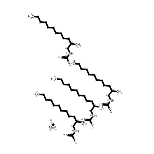 CCCCCCCCCCC(C)CNC(=S)[S-].CCCCCCCCCCC(C)CNC(=S)[S-].CCCCCCCCCCC(C)CNC(=S)[S-].CCCCCCCCCCC(C)CNC(=S)[S-].O=S.[Mo+4]